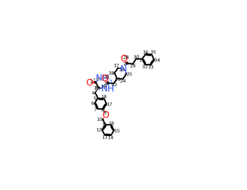 NC(=O)[C@H](Cc1ccc(OCc2ccccc2)cc1)NC(=O)CC1CCN(C(=O)CCc2ccccc2)CC1